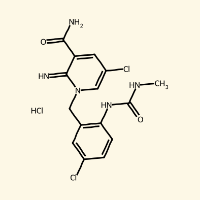 CNC(=O)Nc1ccc(Cl)cc1Cn1cc(Cl)cc(C(N)=O)c1=N.Cl